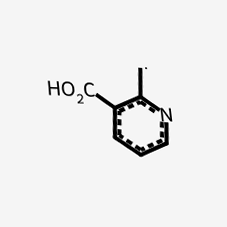 [CH2]c1ncccc1C(=O)O